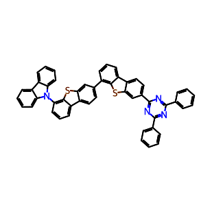 c1ccc(-c2nc(-c3ccccc3)nc(-c3ccc4c(c3)sc3c(-c5ccc6c(c5)sc5c(-n7c8ccccc8c8ccccc87)cccc56)cccc34)n2)cc1